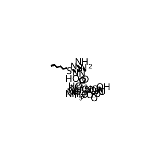 C=CCCCCSc1nc(N)c2ncn([C@@H]3O[C@H](COP(=O)(O)OP(=O)(O)OP(=O)(O)O)[C@@H](O)[C@H]3O)c2n1.N.N.N.N